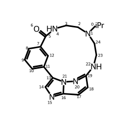 CC(C)N1CCNC(=O)c2cccc(c2)-c2cnc3ccc(nn23)NCC1